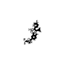 O=C1c2cc(-c3nnc(C(F)F)o3)ccc2CN1C(C1CC1)C(O)c1ccc(F)cn1